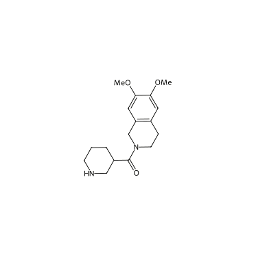 COc1cc2c(cc1OC)CN(C(=O)C1CCCNC1)CC2